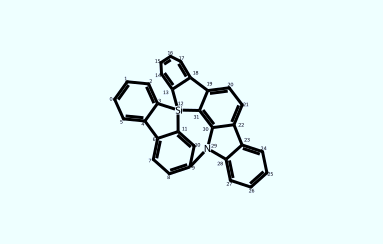 c1ccc2c(c1)-c1ccc3cc1[Si]21c2ccccc2-c2ccc4c5ccccc5n-3c4c21